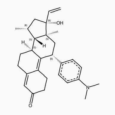 C=C[C@]1(O)C[C@@H](C)[C@H]2[C@@H]3CCC4=CC(=O)CCC4=C3[C@@H](c3ccc(N(C)C)cc3)C[C@@]21C